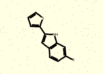 Fc1ccc2cc(-c3cccs3)[nH]c2c1